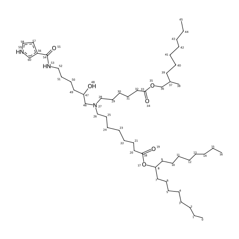 CCCCCCCCC(CCCCCCCC)OC(=O)CCCCCCCN(CCCCCC(=O)OCC(C)CCCCCCC)CC(O)CCCCNC(=O)c1cc[nH]c1